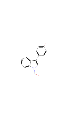 OCn1cc(-c2ccc(O)cc2)c2ccccc21